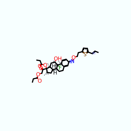 C/C=C/c1ccc(CCO/N=C2\C=C[C@@]3(C)C(=C2)CC[C@H]2[C@@H]4C[C@H](C)C(OC(=O)CC)(C(=O)COC(=O)CC)[C@@]4(C)C[C@H](O)[C@@]23F)s1